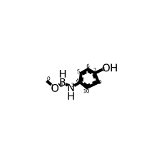 COBNc1ccc(O)cc1